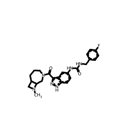 CN1CC2CCCN(C(=O)c3n[nH]c4ccc(NC(=O)NCc5ccc(F)cc5)cc34)CC21